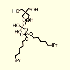 CC(C)CCCCCOP(=O)(OCCCCCC(C)C)OP(=O)(O)O.OCC(CO)(CO)CO